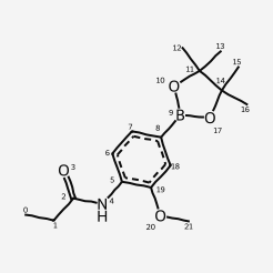 CCC(=O)Nc1ccc(B2OC(C)(C)C(C)(C)O2)cc1OC